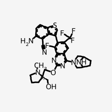 CN1CCC[C@@]1(CO)COc1nc(N2CC3CCC(C2)N3)c2cc(C(F)(F)F)c(-c3csc4ccc(N)c(C#N)c34)c(F)c2n1